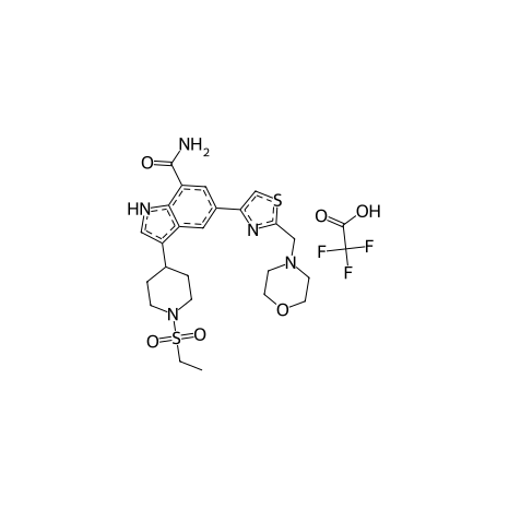 CCS(=O)(=O)N1CCC(c2c[nH]c3c(C(N)=O)cc(-c4csc(CN5CCOCC5)n4)cc23)CC1.O=C(O)C(F)(F)F